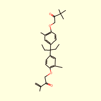 C=C(C)C(=O)COc1ccc(C(CC)(CC)c2ccc(OCC(=O)C(C)(C)C)c(C)c2)cc1C